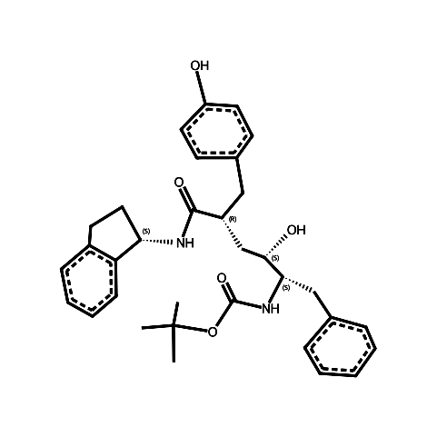 CC(C)(C)OC(=O)N[C@@H](Cc1ccccc1)[C@@H](O)C[C@@H](Cc1ccc(O)cc1)C(=O)N[C@H]1CCc2ccccc21